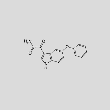 NC(=O)C(=O)c1c[nH]c2ccc(Oc3ccccc3)cc12